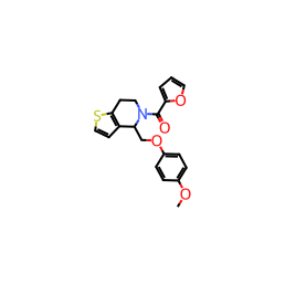 COc1ccc(OCC2c3ccsc3CCN2C(=O)c2ccco2)cc1